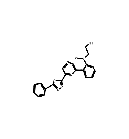 NCC[S+]([O-])c1ccccc1-c1cncc(-c2nnc(-c3ccccc3)o2)n1